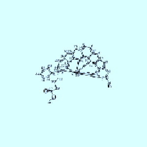 C=Cc1cc2c3c4c1C15c6c7c8c(cc9ccc%10cc(c3c3c%10c9c8c3c64)C2)CC7=CC1(C)[C@]5(CCCC(=O)OC)c1ccccc1